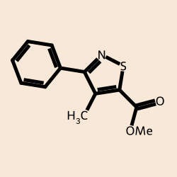 COC(=O)c1snc(-c2ccccc2)c1C